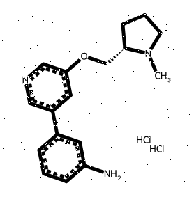 CN1CCC[C@H]1COc1cncc(-c2cccc(N)c2)c1.Cl.Cl